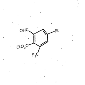 CCOC(=O)c1c(C=O)cc(CC)cc1C(F)(F)F